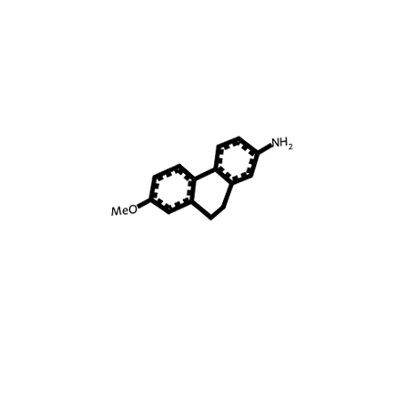 COc1ccc2c(c1)CCc1cc(N)ccc1-2